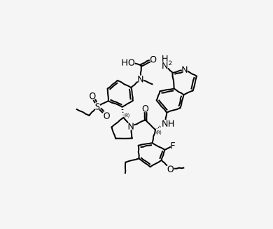 CCc1cc(OC)c(F)c([C@@H](Nc2ccc3c(N)nccc3c2)C(=O)N2CCC[C@@H]2c2cc(N(C)C(=O)O)ccc2S(=O)(=O)CC)c1